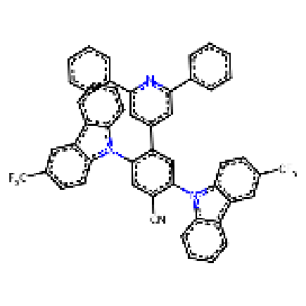 N#Cc1cc(-n2c3ccccc3c3cc(C(F)(F)F)ccc32)c(-c2cc(-c3ccccc3)nc(-c3ccccc3)c2)cc1-n1c2ccccc2c2cc(C(F)(F)F)ccc21